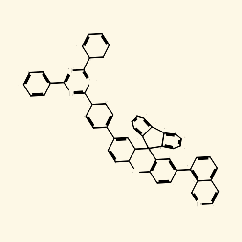 C1=CCC(c2nc(-c3ccccc3)nc(C3C=CC(C4=CC5C(C=C4)Sc4ccc(-c6cccc7ccncc67)cc4C54c5ccccc5-c5ccccc54)=CC3)n2)C=C1